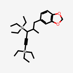 CC[Si](C#CC(C(C)Cc1ccc2c(c1)OCO2)[Si](CC)(CC)CC)(CC)CC